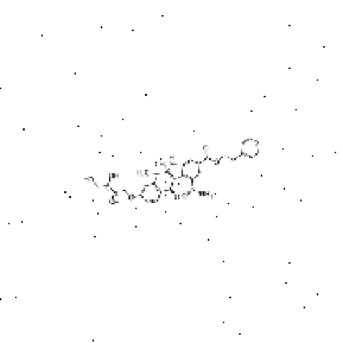 CC1(C)c2cc(OC[C@@H](O)[C@H](O)CO)ccc2C(=O)c2c1[nH]c1cc(C(=O)OCCc3ccccc3)cc(C(N)=O)c21